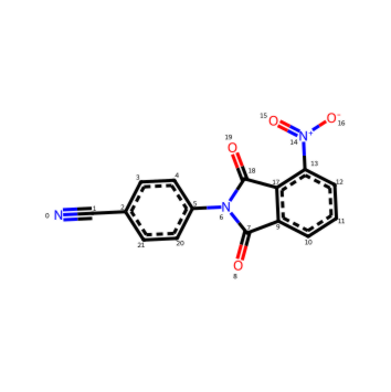 N#Cc1ccc(N2C(=O)c3cccc([N+](=O)[O-])c3C2=O)cc1